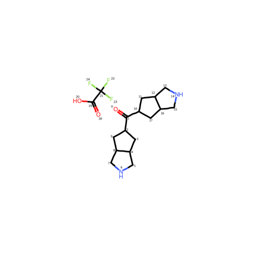 O=C(C1CC2CNCC2C1)C1CC2CNCC2C1.O=C(O)C(F)(F)F